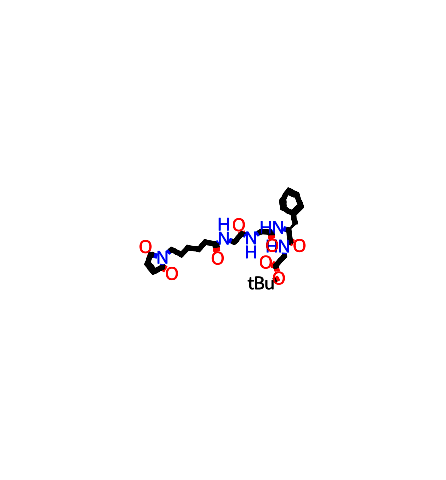 CC(C)(C)OC(=O)CNC(=O)[C@H](Cc1ccccc1)NC(=O)CNC(=O)CNC(=O)CCCCCN1C(=O)C=CC1=O